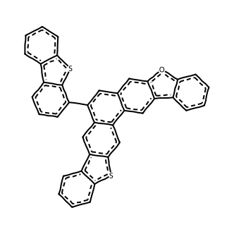 c1ccc2c(c1)oc1cc3cc(-c4cccc5c4sc4ccccc45)c4cc5c(cc4c3cc12)sc1ccccc15